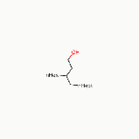 CCCCCCCCC(CCO)CCCCCC